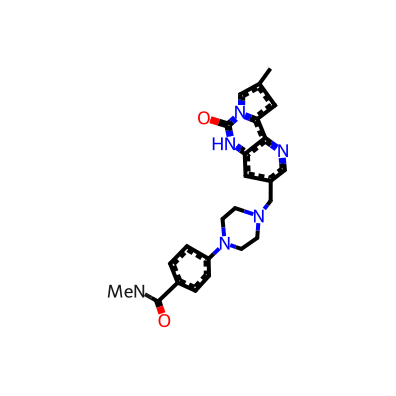 CNC(=O)c1ccc(N2CCN(Cc3cnc4c(c3)[nH]c(=O)n3cc(C)cc43)CC2)cc1